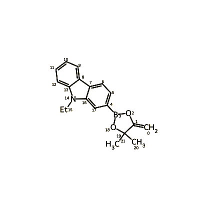 C=C1OB(c2ccc3c4ccccc4n(CC)c3c2)OC1(C)C